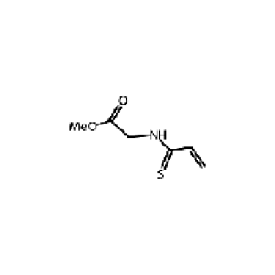 C=CC(=S)NCC(=O)OC